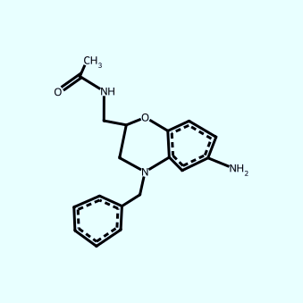 CC(=O)NCC1CN(Cc2ccccc2)c2cc(N)ccc2O1